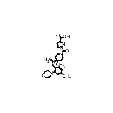 Cc1ccc(CN(C)C2(C)CCN(C(=O)n3ccc(C(=O)O)n3)CC2)c(N2CCOCC2)c1